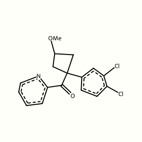 COC1CC(C(=O)c2ccccn2)(c2ccc(Cl)c(Cl)c2)C1